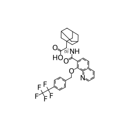 O=C(N[C@H](C(=O)O)C12CC3CC(CC(C3)C1)C2)c1ccc2cccnc2c1OCc1ccc(C(F)(F)C(F)(F)F)cc1